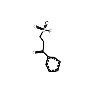 O=C(CCS(=O)(=O)F)c1ccccc1